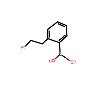 CC(C)CCc1ccccc1B(O)O